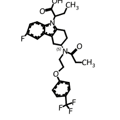 CCC(=O)N(CCOc1ccc(C(F)(F)F)cc1)[C@H]1CCc2c(c3cc(F)ccc3n2C(CC)C(=O)O)C1